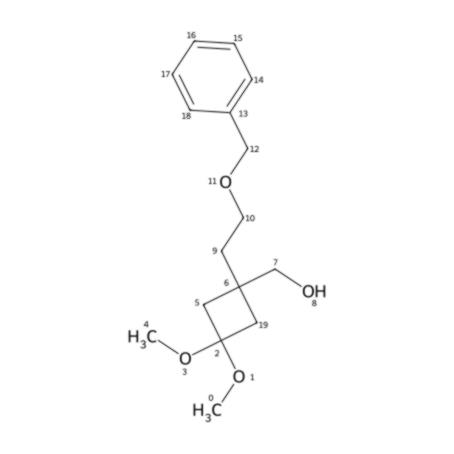 COC1(OC)CC(CO)(CCOCc2ccccc2)C1